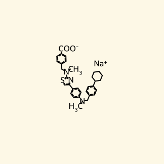 CN(Cc1ccc(C2CCCCC2)cc1)c1ccc(-c2csc(N(C)Cc3ccc(C(=O)[O-])cc3)n2)cc1.[Na+]